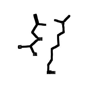 C=C(C)CNC(Cl)CC.CCCCCCCCCCCCCCCCN(C)C